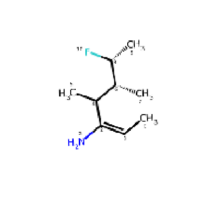 C/C=C(/N)C(C)[C@@H](C)[C@@H](C)F